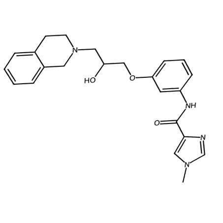 Cn1cnc(C(=O)Nc2cccc(OCC(O)CN3CCc4ccccc4C3)c2)c1